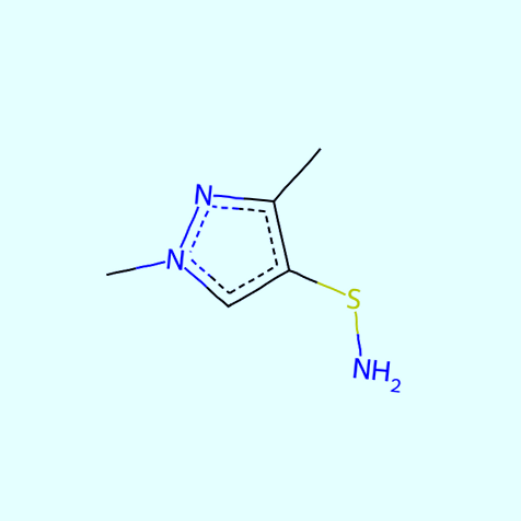 Cc1nn(C)cc1SN